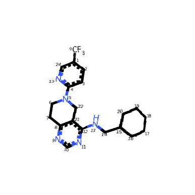 FC(F)(F)c1ccc(N2CCc3ncnc(NCC4CCCCC4)c3C2)nc1